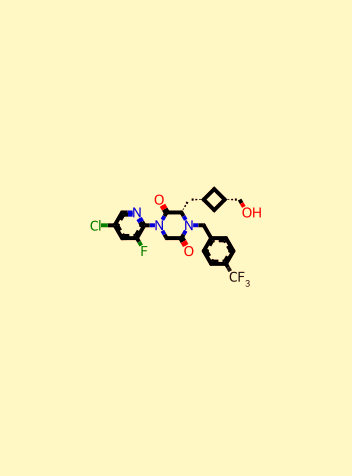 O=C1[C@H](C[C@H]2C[C@@H](CO)C2)N(Cc2ccc(C(F)(F)F)cc2)C(=O)CN1c1ncc(Cl)cc1F